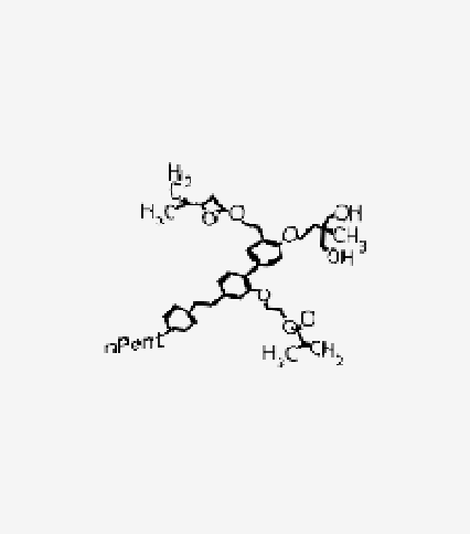 C=C(C)C(=O)OCCOc1cc(CCc2ccc(CCCCC)cc2)ccc1-c1ccc(OCCC(C)(CO)CO)c(CCOC2CC(C(=C)C)O2)c1